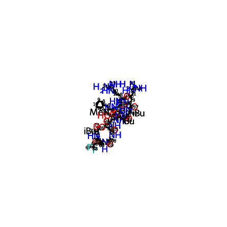 CC[C@H](C)[C@H](NC(=O)[C@@H](Cc1ccccc1)NC)C(=O)N[C@@H](CCCNC(=N)N)C(=O)N[C@H](CCCNC(=N)N)C(=O)N[C@@H](C(=O)N[C@H](C(=O)N[C@@H](CO)C(=O)N[C@H]1C(=O)N[C@@H](C)C(=O)NC2(CC2CC(F)F)C(=O)N[C@@H]([C@@H](C)CC)C(=O)O[C@H]1C)[C@@H](C)CC)[C@@H](C)CC